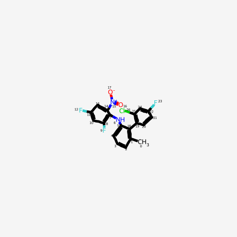 Cc1cccc(Nc2c(F)cc(F)cc2[N+](=O)[O-])c1-c1ccc(F)cc1Cl